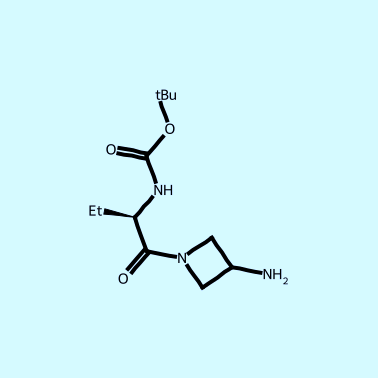 CC[C@@H](NC(=O)OC(C)(C)C)C(=O)N1CC(N)C1